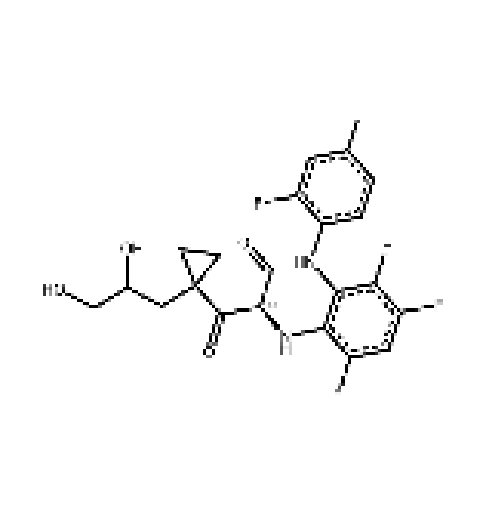 O=C[C@@H](Nc1c(F)cc(F)c(F)c1Nc1ccc(I)cc1F)C(=O)C1(CC(O)CO)CC1